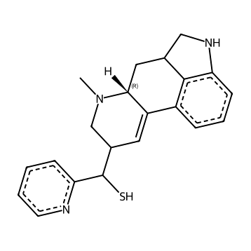 CN1CC(C(S)c2ccccn2)C=C2c3cccc4c3C(CN4)C[C@H]21